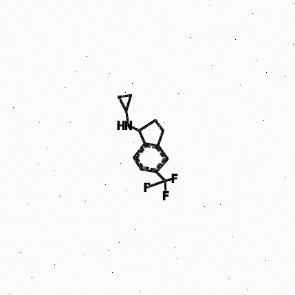 FC(F)(F)c1ccc2c(c1)CCC2NC1CC1